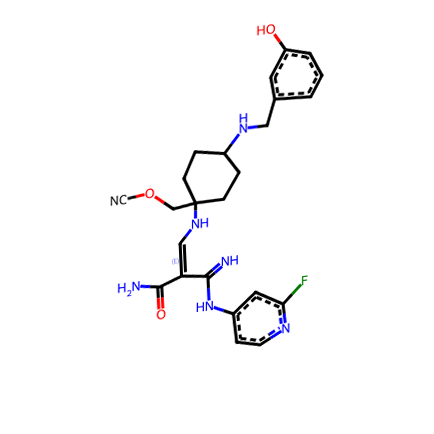 N#COCC1(N/C=C(\C(=N)Nc2ccnc(F)c2)C(N)=O)CCC(NCc2cccc(O)c2)CC1